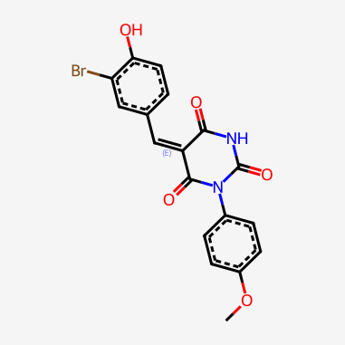 COc1ccc(N2C(=O)NC(=O)/C(=C\c3ccc(O)c(Br)c3)C2=O)cc1